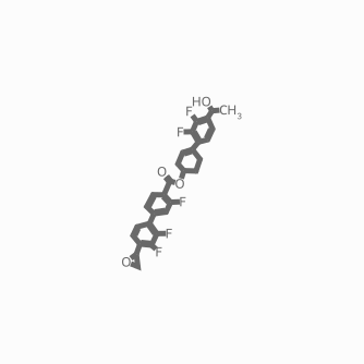 CC(O)c1ccc(C2=CCC(OC(=O)c3ccc(-c4ccc(C5CO5)c(F)c4F)cc3F)CC2)c(F)c1F